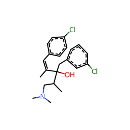 C/C(=C/c1ccc(Cl)cc1)C(O)(Cc1cccc(Cl)c1)C(C)CN(C)C